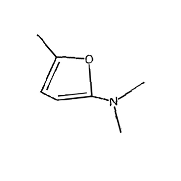 Cc1ccc(N(C)C)o1